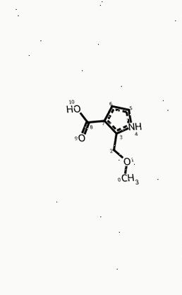 COCc1[nH]ccc1C(=O)O